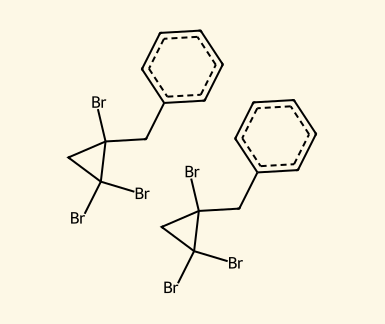 BrC1(Br)CC1(Br)Cc1ccccc1.BrC1(Br)CC1(Br)Cc1ccccc1